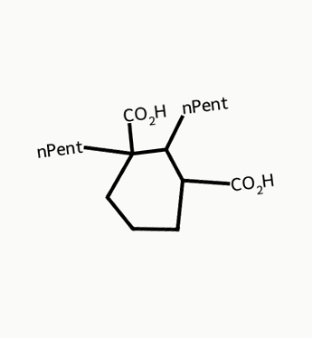 CCCCCC1C(C(=O)O)CCCC1(CCCCC)C(=O)O